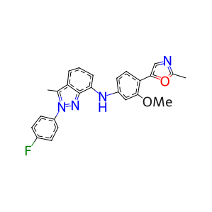 COc1cc(Nc2cccc3c(C)n(-c4ccc(F)cc4)nc23)ccc1-c1cnc(C)o1